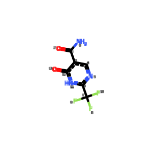 NC(=O)c1cnc(C(F)(F)F)[nH]c1=O